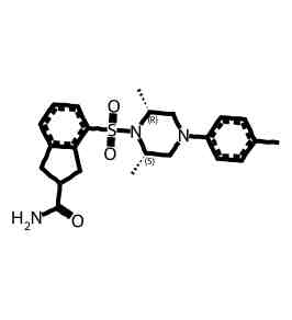 Cc1ccc(N2C[C@@H](C)N(S(=O)(=O)c3cccc4c3CC(C(N)=O)C4)[C@@H](C)C2)cc1